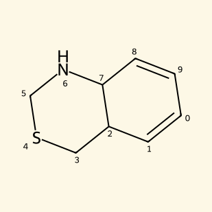 C1=CC2CSCNC2C=C1